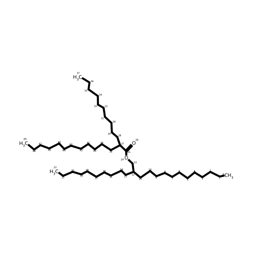 CCCCCCCCCCCCC(CCCCCCCCCC)COC(=O)C(CCCCCCCCCC)CCCCCCCCCCCC